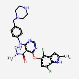 Cc1cc2c(F)c(Oc3ncnc(Nc4ccc(CN5CCNCC5)cc4)c3C(=O)N(C)C)cc(F)c2[nH]1